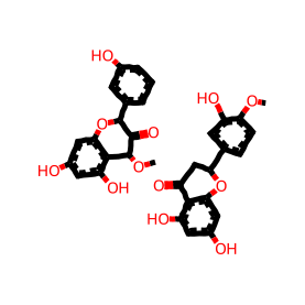 COC1C(=O)C(c2cccc(O)c2)Oc2cc(O)cc(O)c21.COc1ccc(C2CC(=O)c3c(O)cc(O)cc3O2)cc1O